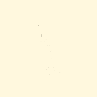 O=S(=O)(c1ccc(OCc2cccc(F)c2)cc1)N1CCNCC1